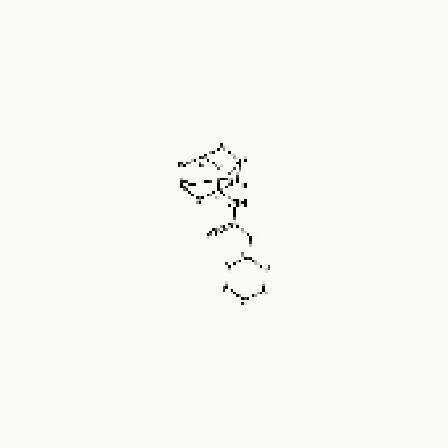 O=C(CC1CCCCC1)NC12CC3CC(CC(C3)C1)C2